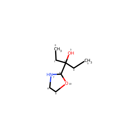 CCC(O)(CC)C1NCCO1